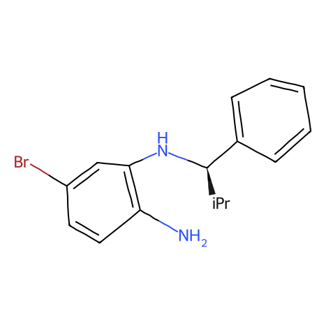 CC(C)[C@@H](Nc1cc(Br)ccc1N)c1ccccc1